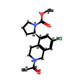 CC(C)(C)OC(=O)N1CCC[C@H]1c1cc(Cl)cc2c1CCN(C(=O)C(C)(C)C)C2